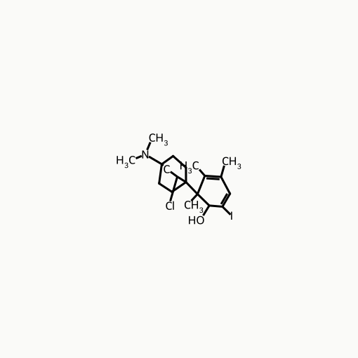 CC1=C(C)C(C)(C23CCC(N(C)C)(CC2)CC3Cl)C(O)C(I)=C1